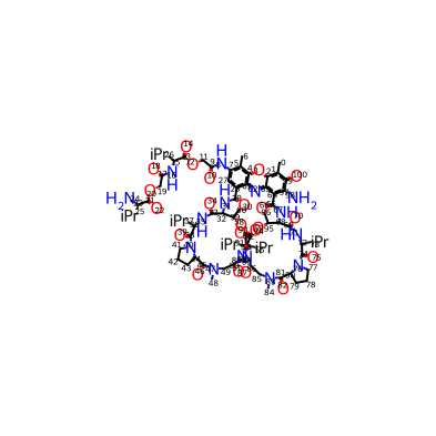 Cc1c2oc3c(C)c(NC(=O)COC(=O)C(NC(=O)COC(=O)C(N)C(C)C)C(C)C)cc(C(=O)NC4C(=O)NC(C(C)C)C(=O)N5CCCC5C(=O)N(C)CC(=O)N(C)C(C(C)C)C(=O)OC4C)c3nc-2c(C(=O)NC2C(=O)NC(C(C)C)C(=O)N3CCCC3C(=O)N(C)CC(=O)N(C)C(C(C)C)C(=O)OC2C)c(N)c1=O